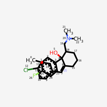 Cc1cc(C2(O)/C(=C\c3ccc(Cl)cc3)CCCC2CN(C)C)ccc1F